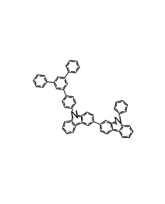 c1ccc(-c2cc(-c3ccccc3)cc(-c3ccc(-n4c5ccccc5c5cc(-c6ccc7c8ccccc8n(-c8ccccc8)c7c6)ccc54)cc3)c2)cc1